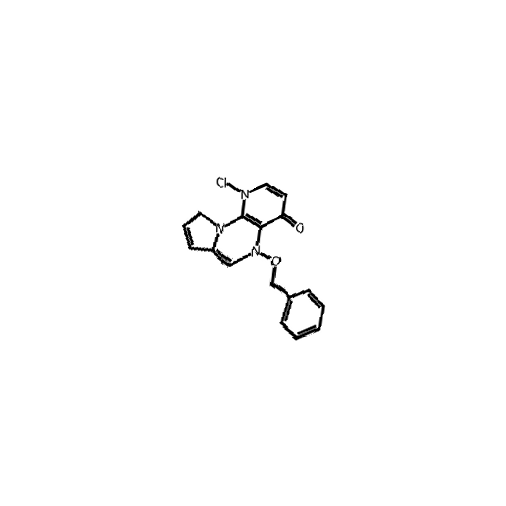 O=c1ccn(Cl)c2c1N(OCc1ccccc1)C=C1C=CCN12